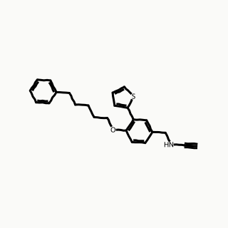 C#CNCc1ccc(OCCCCCc2ccccc2)c(-c2cccs2)c1